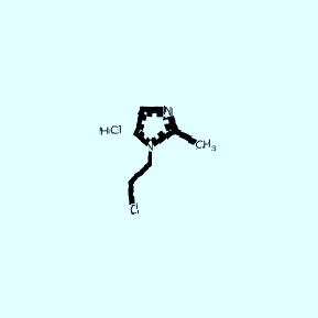 Cc1nccn1CCCl.Cl